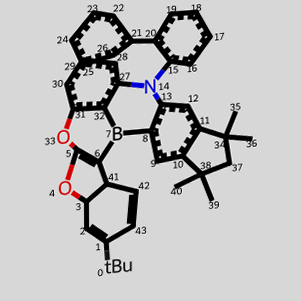 CC(C)(C)C1=CC2OC3=C(B4c5cc6c(cc5N(c5ccccc5-c5ccccc5)c5cccc(c54)O3)C(C)(C)CC6(C)C)C2C=C1